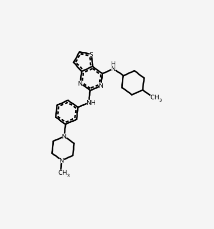 CC1CCC(Nc2nc(Nc3cccc(N4CCN(C)CC4)c3)nc3ccsc23)CC1